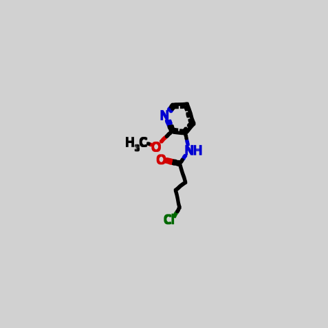 COc1ncccc1NC(=O)CCCCl